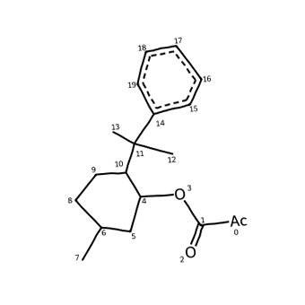 CC(=O)C(=O)OC1CC(C)CCC1C(C)(C)c1ccccc1